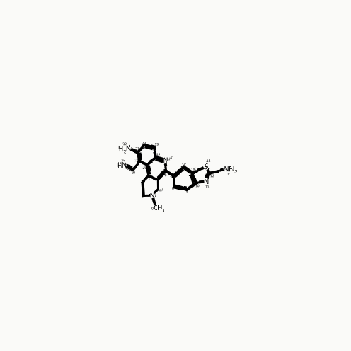 CN1CCc2c(c(-c3ccc4nc(N)sc4c3)nc3ccc(N)c(C=N)c23)C1